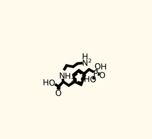 CCCCN.NC(Cc1ccc(CP(=O)(O)O)cc1)C(=O)O